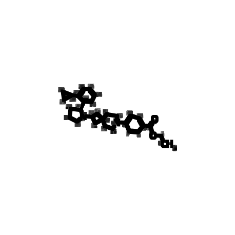 CCOC(=O)c1ccc(N2CCC3(CC2)CC(N2CCC[C@H]2c2ccccc2C2CC2)C3)cc1